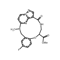 COC(=O)C1CNC(=O)c2cnn3ccc(nc23)N(C)Cc2cc(F)ccc2O1